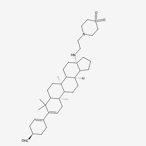 CC1(C)C(C2=CC[C@H](C=O)CC2)=CC[C@@]2(C)C1CC[C@@]1(C)C3CC[C@@]4(NCCN5CCS(=O)(=O)CC5)CCCC4[C@H]3CCC12